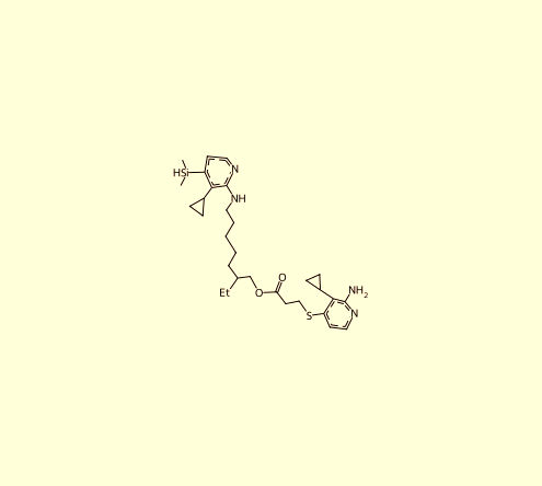 CCC(CCCCCNc1nccc([SiH](C)C)c1C1CC1)COC(=O)CCSc1ccnc(N)c1C1CC1